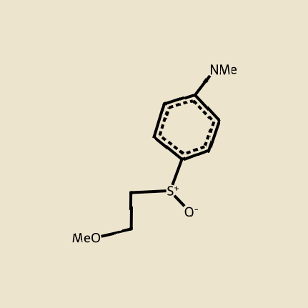 CNc1ccc([S+]([O-])CCOC)cc1